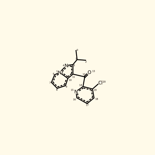 CC(C)c1nn2ccccc2c1C(=O)c1ncccc1Cl